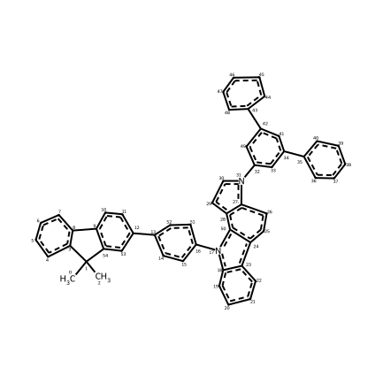 CC1(C)c2ccccc2-c2ccc(-c3ccc(-n4c5ccccc5c5ccc6c(ccn6-c6cc(-c7ccccc7)cc(-c7ccccc7)c6)c54)cc3)cc21